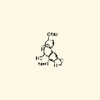 COc1c2c(cc3c1C(O)N1CCC34C=CC(OC)CC14)OCO2